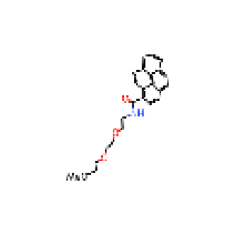 COCCOCCOCCNC(=O)c1ccc2ccc3cccc4ccc1c2c34